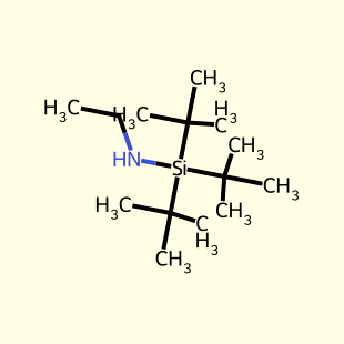 CCN[Si](C(C)(C)C)(C(C)(C)C)C(C)(C)C